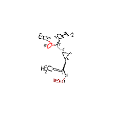 C=C(CBr)[C@@H]1C[C@H]1C(=C)OCC